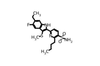 CCCCc1nc(-c2[nH]c3cc(CC)c(F)cc3c2SC)ccc1S(N)(=O)=O